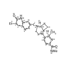 CCc1cc2ncc(CN3CCN(c4ccc(C(=O)NC)nc4C)[C@@H]4CC[C@@H]43)cc2[nH]c1=O